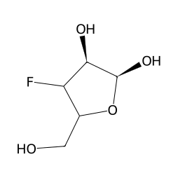 OCC1O[C@H](O)[C@H](O)C1F